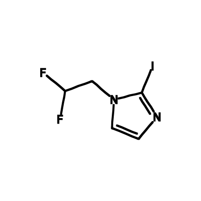 FC(F)Cn1ccnc1I